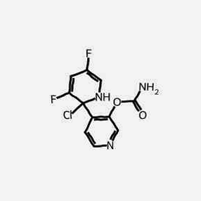 NC(=O)Oc1cnccc1C1(Cl)NC=C(F)C=C1F